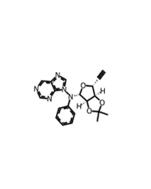 C#C[C@H]1O[C@@H](N(c2ccccc2)n2cnc3cncnc32)[C@@H]2OC(C)(C)O[C@@H]21